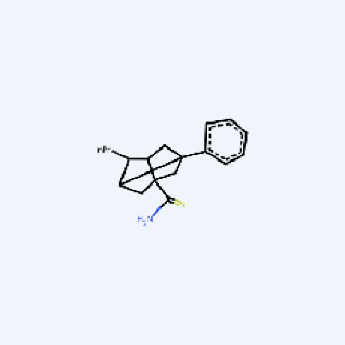 CCCC1C2CC3(c4ccccc4)CC2(C(N)=S)CC13